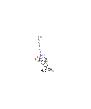 CCCCCCCCCCNC(=O)[C@]1(C)CCC[C@@]2(C)[C@H]1CC=C1C=C(C(C)C)CC[C@@H]12